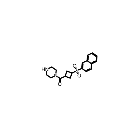 O=C(C1CC(S(=O)(=O)c2ccc3ccccc3c2)C1)N1CCNCC1